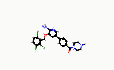 CN1CCN(C(=O)c2ccc(-c3cnc(N)c(OCc4c(F)ccc(F)c4Cl)c3)cc2)CC1